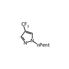 CCCCCn1cc(C(F)(F)F)[c]n1